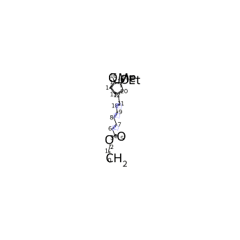 C=CCOC(=O)/C=C/C=C/C=C/c1ccc(OC)c(OCC)c1